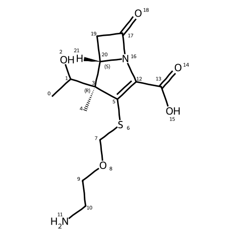 CC(O)[C@]1(C)C(SCOCCN)=C(C(=O)O)N2C(=O)C[C@H]21